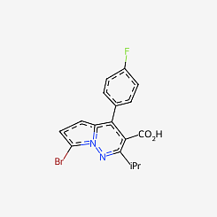 CC(C)c1nn2c(Br)ccc2c(-c2ccc(F)cc2)c1C(=O)O